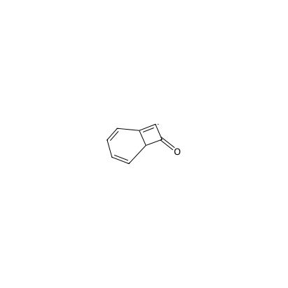 O=C1[C]=C2C=CC=CC12